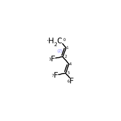 [CH2]/C=C(\F)C=C(F)F